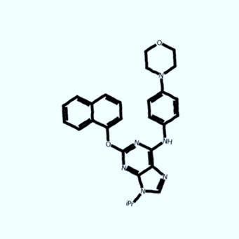 CC(C)n1cnc2c(Nc3ccc(N4CCOCC4)cc3)nc(Oc3cccc4ccccc34)nc21